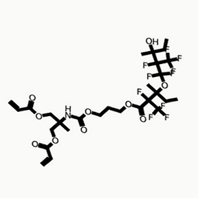 C=CC(=O)OCC(C)(COC(=O)C=C)NC(=O)OCCCOC(=O)C(F)(C(F)(F)F)C(C)(CC)OC(F)(F)C(F)(C(F)(F)F)C(C)(O)CC